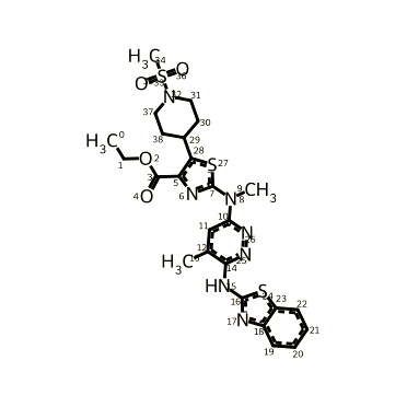 CCOC(=O)c1nc(N(C)c2cc(C)c(Nc3nc4ccccc4s3)nn2)sc1C1CCN(S(C)(=O)=O)CC1